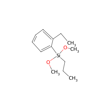 CCC[Si](OC)(OC)c1ccccc1CC